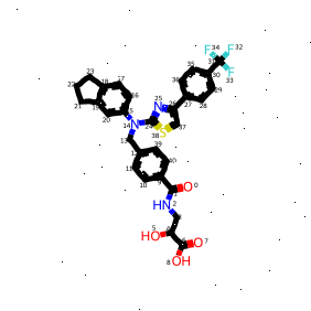 O=C(NCC(O)C(=O)O)c1ccc(CN(c2ccc3c(c2)CCC3)c2nc(-c3ccc(C(F)(F)F)cc3)cs2)cc1